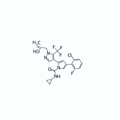 C[C@@H](O)Cn1ncc(-c2cc(-c3c(F)cccc3Cl)cn2C(=O)NC2CC2)c1C(F)(F)F